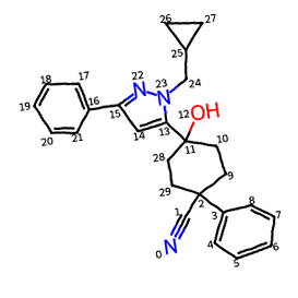 N#CC1(c2ccccc2)CCC(O)(c2cc(-c3ccccc3)nn2CC2CC2)CC1